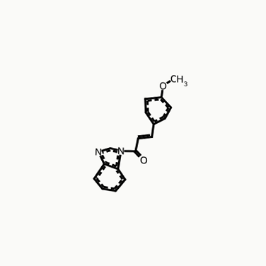 COc1ccc(/C=C/C(=O)n2cnc3ccccc32)cc1